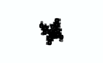 COc1ccc(C=CC(c2ccc(OC)cc2OC)S(=O)(=O)C(C=Cc2ccc(OC)cc2OC)c2ccc(OC)cc2OC)c(OC)c1